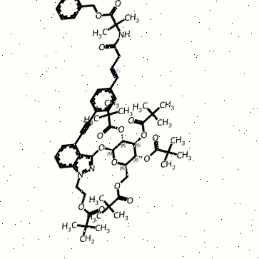 CC(C)(C)C(=O)OCCn1nc(O[C@@H]2O[C@H](COC(=O)C(C)(C)C)[C@@H](OC(=O)C(C)(C)C)[C@H](OC(=O)C(C)(C)C)[C@H]2OC(=O)C(C)(C)C)c2c(C#Cc3ccc(/C=C/CC(=O)NC(C)(C)C(=O)OCc4ccccc4)cc3)cccc21